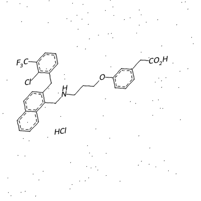 Cl.O=C(O)Cc1cccc(OCCCNCc2c(Cc3cccc(C(F)(F)F)c3Cl)ccc3ccccc23)c1